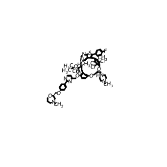 Cc1c(Cl)c2c(Cl)c(C)c1-c1c(-c3ccc(F)cc3)sc3ncnc(c13)O[C@@H](C(=O)OC(C)(C)C)Cc1cc(ccc1OCc1ccnc(-c3ccc(OC[C@H]4CN(C)CCCO4)cc3)n1)OC[C@@H](CN1CCN(C)CC1)O2